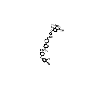 N#Cc1ccc(O[C@H]2CC[C@H](NC(=O)c3cnc(N4CCC(CN[C@H]5C[C@H](Oc6ccc(C(=O)O)c(C(=O)O)c6F)C5)CC4)cn3)CC2)cc1Cl